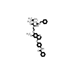 COc1cc2c(Oc3ccc(NC(=O)c4ccccc4)cc3)ccnc2cc1OCC[C@H](NC(=O)OCc1ccccc1)C(=O)OC(C)(C)C